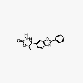 CC1OC(=O)NN=C1c1ccc2nc(-c3ccccc3)oc2c1